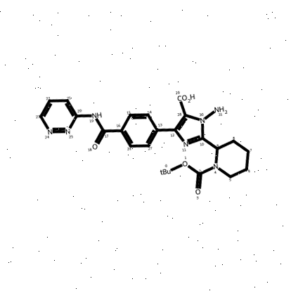 CC(C)(C)OC(=O)N1CCCCC1c1nc(-c2ccc(C(=O)Nc3cccnn3)cc2)c(C(=O)O)n1N